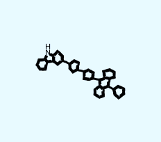 c1ccc(-c2c3ccccc3c(-c3ccc(-c4ccc(-c5ccc6[nH]c7ccccc7c6c5)cc4)cc3)c3ccccc23)cc1